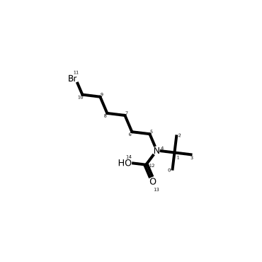 CC(C)(C)N(CCCCCCBr)C(=O)O